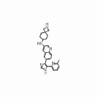 Cc1cccc(-c2[nH]cnc2-c2ccc3ncc(NC4CCC5(CC4)CNC5)cc3c2)n1